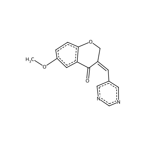 COc1ccc2c(c1)C(=O)C(=Cc1cncnc1)CO2